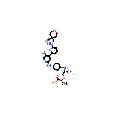 C[C@H](CO[C@H](C)C(=O)O)N[C@H]1CC[C@H](Nc2cc(-c3cccc(NCC4(C#N)CCOCC4)n3)c(Cl)cn2)CC1